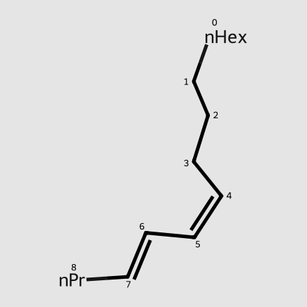 [CH2]CCCCCCCC/C=C\C=C\CCC